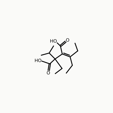 CCC(CC)=C(C(=O)O)C(CC)(C(=O)O)C(C)C